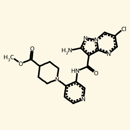 COC(=O)C1CCN(c2ccncc2NC(=O)c2c(N)nn3cc(Cl)cnc23)CC1